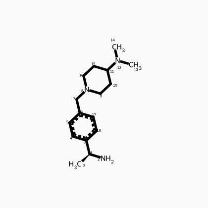 C[C@H](N)c1ccc(CN2CCC(N(C)C)CC2)cc1